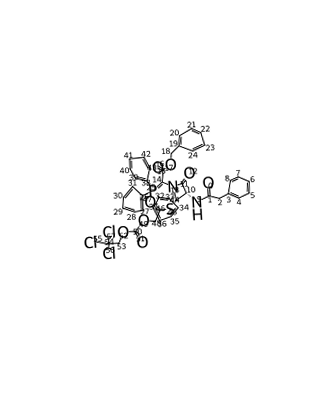 O=C(Cc1ccccc1)N[C@H]1C(=O)N(C(C(=O)OCc2ccccc2)=P(c2ccccc2)(c2ccccc2)c2ccccc2)[C@H]1SC(=O)COC(=O)OCC(Cl)(Cl)Cl